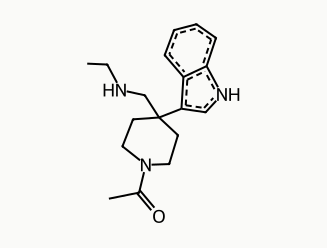 CCNCC1(c2c[nH]c3ccccc23)CCN(C(C)=O)CC1